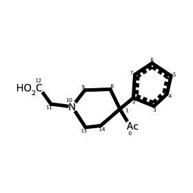 CC(=O)C1(c2ccccc2)CCN(CC(=O)O)CC1